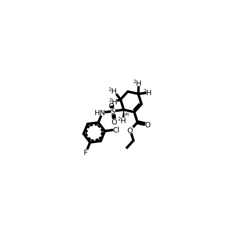 [2H]C1([2H])C=C(C(=O)OCC)[C@]([2H])(S(=O)(=O)Nc2ccc(F)cc2Cl)C([2H])([2H])C1